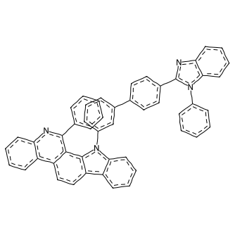 c1ccc(-c2nc3ccccc3c3ccc4c5ccccc5n(-c5cccc(-c6ccc(-c7nc8ccccc8n7-c7ccccc7)cc6)c5)c4c23)cc1